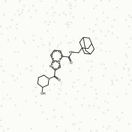 O=C(NCC12CC3CC(CC(C3)C1)C2)c1cccc2nc(C(=O)N3CCCC(O)C3)cn12